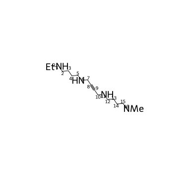 CCNCCCCNCC#CCNCCCCNC